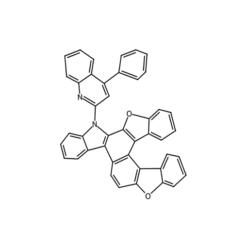 c1ccc(-c2cc(-n3c4ccccc4c4c5ccc6oc7ccccc7c6c5c5c6ccccc6oc5c43)nc3ccccc23)cc1